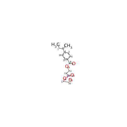 CCC(C)c1ccc(C(=O)OCCP2(=O)OCCO2)cc1